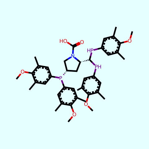 COc1c(C)cc(PC(Pc2cc(C)c(OC)c(C)c2)[C@@H]2C[C@H](P(c3cc(C)c(OC)c(C)c3)c3cc(C)c(OC)c(C)c3)CN2C(=O)O)cc1C